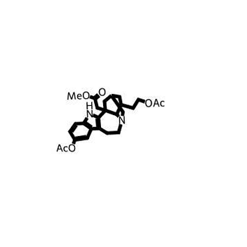 COC(=O)CC12CC3CC(CCOC(C)=O)C1N(CCc1c2[nH]c2ccc(OC(C)=O)cc12)C3